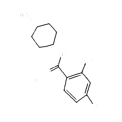 Cc1ccc(C(=O)N[C@H]2CC[C@@H](N)CC2)c(O)c1.Cl